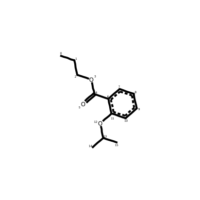 CCCOC(=O)c1ccccc1OC(C)C